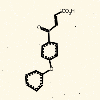 O=C(O)/C=C/C(=O)c1ccc(Oc2ccccc2)cc1